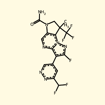 CC1(C(F)(F)F)CN(C(N)=O)c2cnc3c(-c4cnnc(C(F)F)c4)c(F)nn3c21